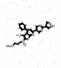 COCCC[S+]([O-])c1sc2nc(-c3cnc(-c4cn[nH]c4)nc3)cc(-c3ccccc3)c2c1N